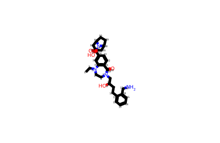 CCN1CCN(CC(O)CCc2ccccc2CN)C(=O)c2ccc(C(=O)N3C4CCC3CC(O)C4)cc21